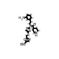 CC(C)(C)c1cnc(CSc2cnc(N(CCc3cccc(N)c3)C(=O)C3CCNCC3)s2)o1